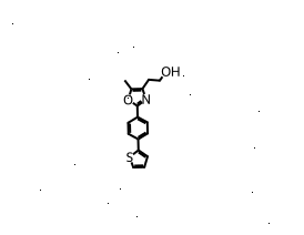 Cc1oc(-c2ccc(-c3cccs3)cc2)nc1CCO